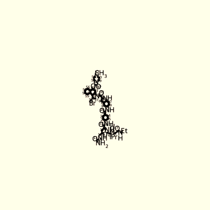 CCNC(=O)CNC(C(=O)NC(CCCNC(N)=O)C(=O)Nc1ccc(C(=O)Nc2ccc3[nH]c(C(=O)N4C[C@@H](CBr)c5c4cc(OC(=O)N4CCN(C)CC4)c4ccccc54)cc3c2)cc1)C(C)C